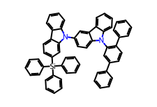 c1ccc(-c2ccc(-c3ccccc3)c(-n3c4ccccc4c4cc(-n5c6ccccc6c6ccc([Si](c7ccccc7)(c7ccccc7)c7ccccc7)cc65)ccc43)c2)cc1